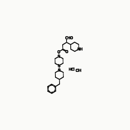 Cl.Cl.O=CC(CC(=O)ON1CCN(N2CCC(Cc3ccccc3)CC2)CC1)C1CCNCC1